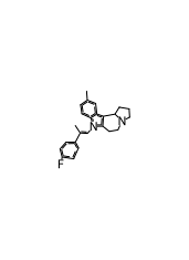 CC(=Cn1c2c(c3cc(C)ccc31)C1CCCN1CC2)c1ccc(F)cc1